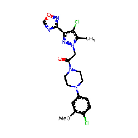 COc1cc(N2CCN(C(=O)Cn3nc(-c4ncon4)c(Cl)c3C)CC2)ccc1Cl